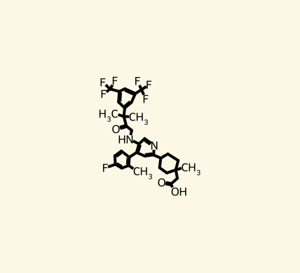 Cc1cc(F)ccc1-c1cc(C2CCC(C)(CC(=O)O)CC2)ncc1NCC(=O)C(C)(C)c1cc(C(F)(F)F)cc(C(F)(F)F)c1